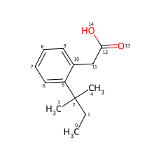 CCC(C)(C)c1ccccc1CC(=O)O